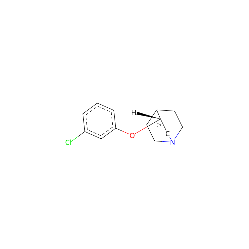 Clc1cccc(O[C@H]2CN3CCC2CC3)c1